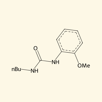 CCCCNC(=O)Nc1ccccc1OC